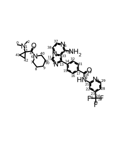 CN(C)C1(C(=O)N2CCC[C@@H](c3nc(-c4ccc(C(=O)Nc5cc(C(F)(F)F)ccn5)cc4)c4c(N)nccn34)C2)CC1